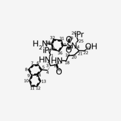 CC(C)CN[C@@H](Cc1cccc2ccccc12)C(=O)NCCCC(CO)N(CC(C)C)S(=O)(=O)c1ccc(N)cc1